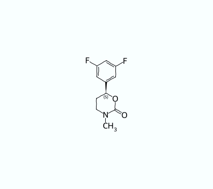 CN1CC[C@@H](c2cc(F)cc(F)c2)OC1=O